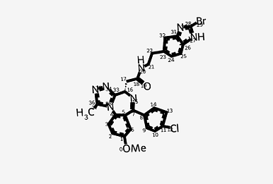 COc1ccc2c(c1)C(c1ccc(Cl)cc1)=N[C@@H](CC(=O)NCCc1ccc3[nH]c(Br)nc3c1)c1nnc(C)n1-2